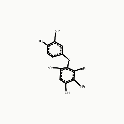 CCCc1cc(Sc2c(CCC)cc(O)c(CCC)c2CCC)ccc1O